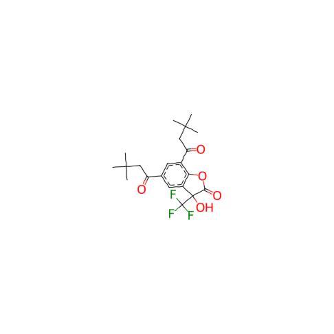 CC(C)(C)CC(=O)c1cc(C(=O)CC(C)(C)C)c2c(c1)C(O)(C(F)(F)F)C(=O)O2